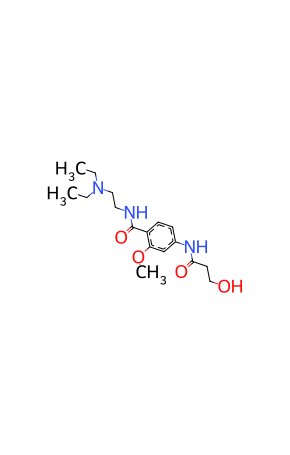 CCN(CC)CCNC(=O)c1ccc(NC(=O)CCO)cc1OC